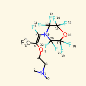 CN(C)CCO/C(=C(/F)N1C(F)(F)C(F)(F)OC(F)(F)C1(F)F)C(F)(F)F